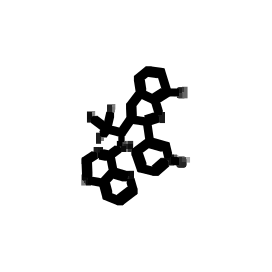 [O-][n+]1cccc(-c2nc3c(Cl)cccc3cc2[C@H](Nc2ncnc3cccnc23)C(F)(F)F)c1